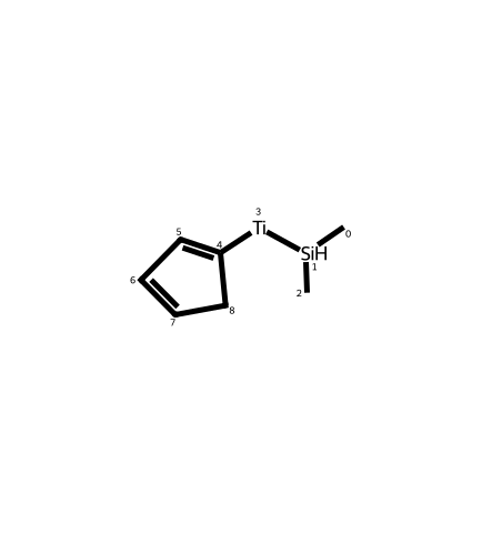 C[SiH](C)[Ti][C]1=CC=CC1